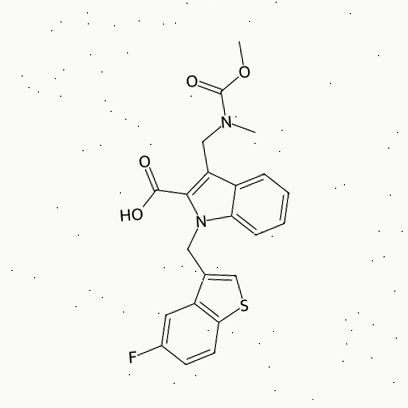 COC(=O)N(C)Cc1c(C(=O)O)n(Cc2csc3ccc(F)cc23)c2ccccc12